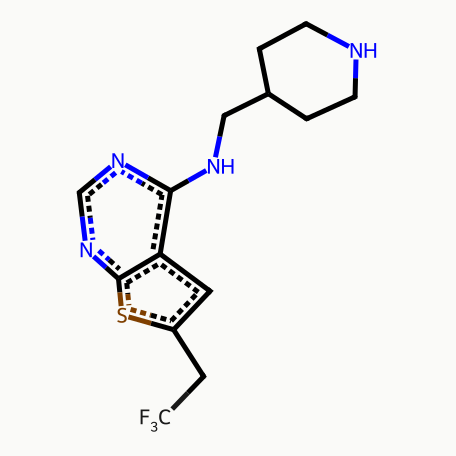 FC(F)(F)Cc1cc2c(NCC3CCNCC3)ncnc2s1